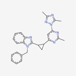 Cc1nc(C2CC2c2nc3ccccc3n2Cc2ccccc2)cc(-n2nc(C)nc2C)n1